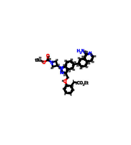 CCOC(=O)Cc1ccccc1OCc1nn(C2CN(C(=O)OC(C)(C)C)C2)c2ccc(-c3ccc4ccnc(N)c4c3)cc12